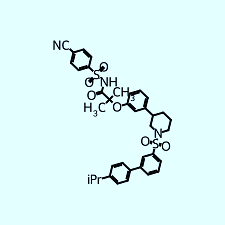 CC(C)c1ccc(-c2cccc(S(=O)(=O)N3CCCC(c4cccc(OC(C)(C)C(=O)NS(=O)(=O)c5ccc(C#N)cc5)c4)C3)c2)cc1